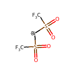 O=[S](=O)([Bi][S](=O)(=O)C(F)(F)F)C(F)(F)F